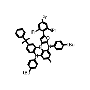 Cc1cc2c3c(c1)N(c1ccc(C(C)(C)C)cc1)c1oc(-c4c(C(C)C)cc(C(C)C)cc4C(C)C)cc1B3c1cc(C(C)(C)c3ccccc3)ccc1N2c1ccc(C(C)(C)C)cc1